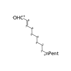 CCCCCCCCCCC/C=C/[C]=O